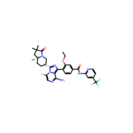 CCOc1cc(C(=O)Nc2cc(C(F)(F)F)ccn2)ccc1-c1nc([C@@H]2CC[C@H]3CC(C)(C)C(=O)N3C2)n2c(F)cnc(N)c12